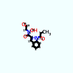 CCC(=O)Nc1ccccc1/C=C/C(=O)N(O)C[C]=O